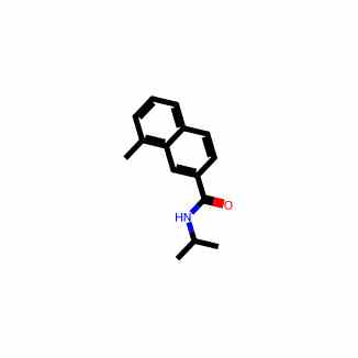 Cc1cccc2ccc(C(=O)NC(C)C)cc12